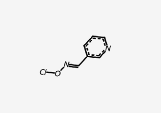 ClON=Cc1cccnc1